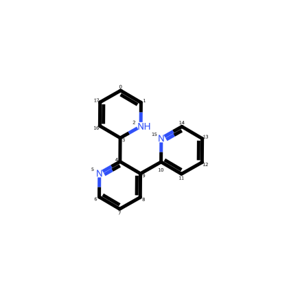 C1=CNC(c2ncccc2-c2ccccn2)C=C1